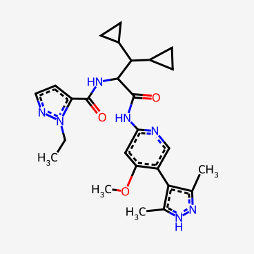 CCn1nccc1C(=O)NC(C(=O)Nc1cc(OC)c(-c2c(C)n[nH]c2C)cn1)C(C1CC1)C1CC1